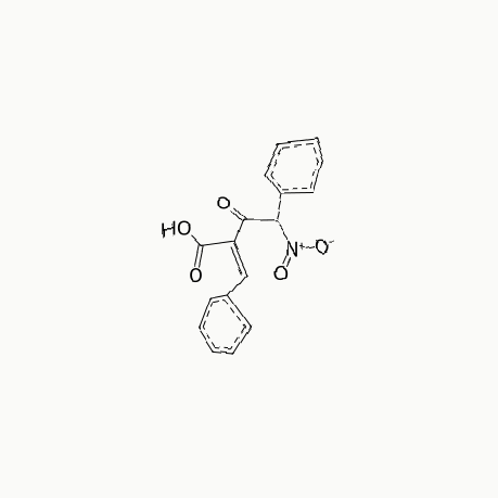 O=C(O)C(=Cc1ccccc1)C(=O)C(c1ccccc1)[N+](=O)[O-]